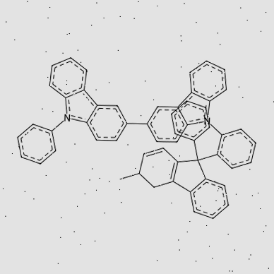 CC1C=CC2=C(C1)c1ccccc1C2(c1ccccc1)c1ccccc1-n1c2ccccc2c2cc(-c3ccc4c(c3)c3ccccc3n4-c3ccccc3)ccc21